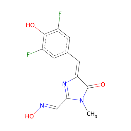 CN1C(=O)C(=Cc2cc(F)c(O)c(F)c2)N=C1C=NO